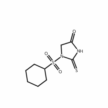 O=C1CN(S(=O)(=O)C2CCCCC2)C(=S)N1